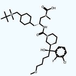 COCCCC[C@@](O)(c1cccc(Cl)c1F)[C@@H]1CCCN(C(=O)N[C@H](CC2CCC(C[Si](C)(C)C(C)(C)C)CC2)CN(C)C(=O)O)C1